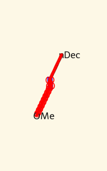 CCCCCCCCCCCCCCCCCCCCCCCCCCCCCCCCCCCCCCCCCCCCCCCCCCCCN1C(=O)c2ccc3c4ccc5c6c(ccc(c7ccc(c2c37)C1=O)c64)C(=O)N(CCOCCOCCOCCOCCOCCOCCOCCOCCOCCOCCOCCOCCOCCOCCOCCOCCOC)C5=O